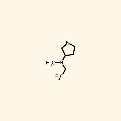 CN(CC(F)(F)F)C1CC[N]C1